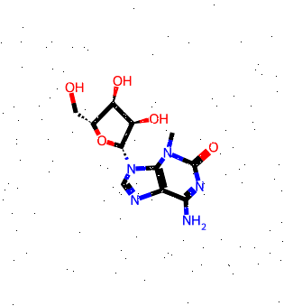 Cn1c(=O)nc(N)c2ncn([C@@H]3O[C@H](CO)[C@@H](O)[C@H]3O)c21